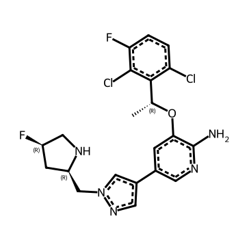 C[C@@H](Oc1cc(-c2cnn(C[C@H]3C[C@@H](F)CN3)c2)cnc1N)c1c(Cl)ccc(F)c1Cl